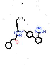 CCC#Cc1nc(C(=O)CC2CCCCC2)nn1Cc1ccc(-c2ccccc2-c2nnn[nH]2)cc1